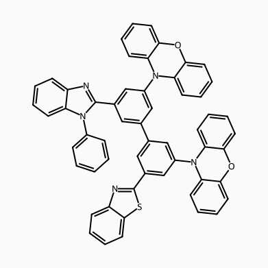 c1ccc(-n2c(-c3cc(-c4cc(-c5nc6ccccc6s5)cc(N5c6ccccc6Oc6ccccc65)c4)cc(N4c5ccccc5Oc5ccccc54)c3)nc3ccccc32)cc1